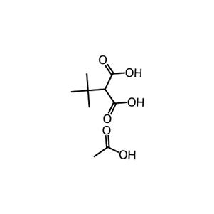 CC(=O)O.CC(C)(C)C(C(=O)O)C(=O)O